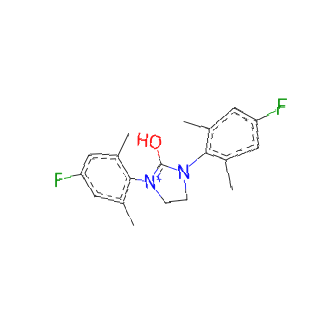 Cc1cc(F)cc(C)c1N1CC[N+](c2c(C)cc(F)cc2C)=C1O